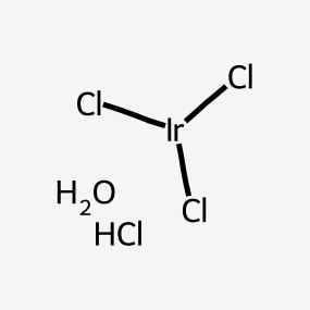 Cl.O.[Cl][Ir]([Cl])[Cl]